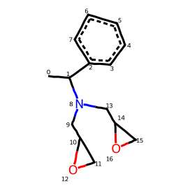 CC(c1ccccc1)N(CC1CO1)CC1CO1